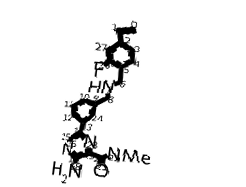 C=Cc1ccc(CNCc2cccc(-c3cnc(N)c(C(=O)NC)n3)c2)c(F)c1